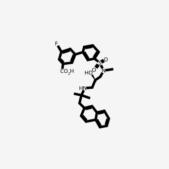 CN(C[C@H](O)CNC(C)(C)Cc1ccc2ccccc2c1)S(=O)(=O)c1cccc(-c2cc(F)cc(C(=O)O)c2)c1